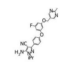 Cc1ncc(COc2cc(F)cc(Oc3ccc(-c4nn(C(C)C)c(N)c4C#N)cc3)c2)cn1